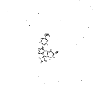 Nc1ccc(-c2nc(C3(c4ccc(Br)cc4)CCC3)no2)cn1